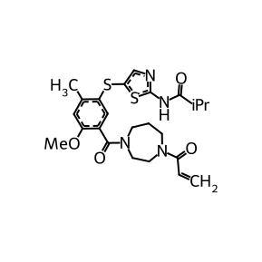 C=CC(=O)N1CCCN(C(=O)c2cc(Sc3cnc(NC(=O)C(C)C)s3)c(C)cc2OC)CC1